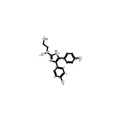 [O-][S+](CCO)c1nc(-c2ccc(Cl)cc2)c(-c2ccc(Cl)cc2)[nH]1